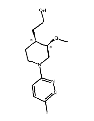 CO[C@H]1CN(c2ccc(C)nn2)CC[C@H]1CCO